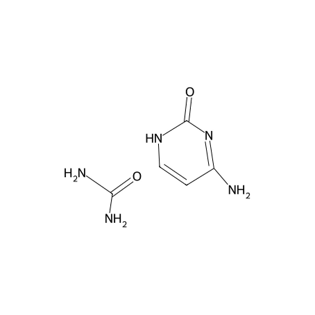 NC(N)=O.Nc1cc[nH]c(=O)n1